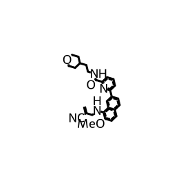 C=C(C#N)CNc1c(OC)ccc2ccc(-c3cccc(C(=O)NCCC4CCOCC4)n3)cc12